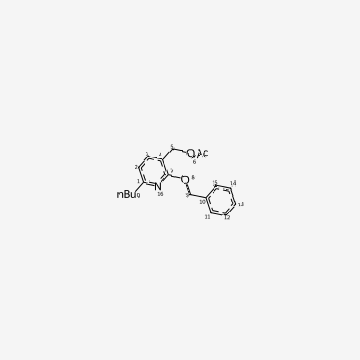 CCCCc1ccc(COC(C)=O)c(OCc2ccccc2)n1